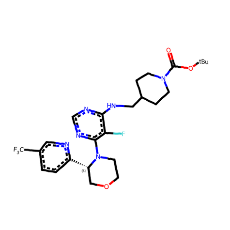 CC(C)(C)OC(=O)N1CCC(CNc2ncnc(N3CCOC[C@@H]3c3ccc(C(F)(F)F)cn3)c2F)CC1